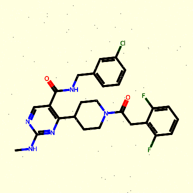 CNc1ncc(C(=O)NCc2cccc(Cl)c2)c(C2CCN(C(=O)Cc3c(F)cccc3F)CC2)n1